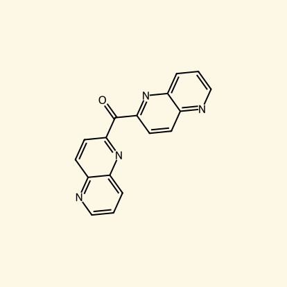 O=C(c1ccc2ncccc2n1)c1ccc2ncccc2n1